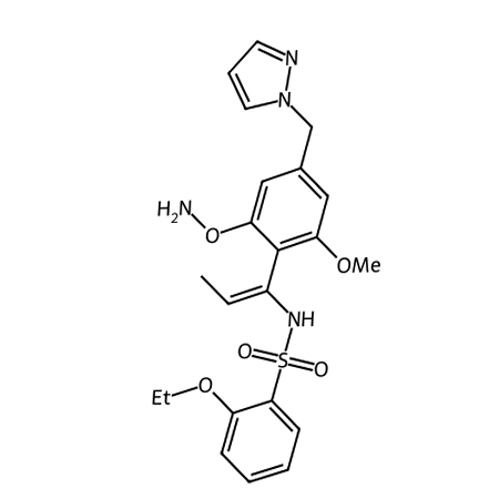 C/C=C(/NS(=O)(=O)c1ccccc1OCC)c1c(OC)cc(Cn2cccn2)cc1ON